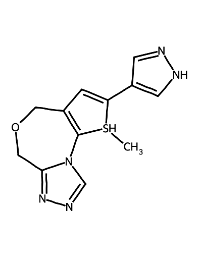 C[SH]1C(c2cn[nH]c2)=CC2=C1n1cnnc1COC2